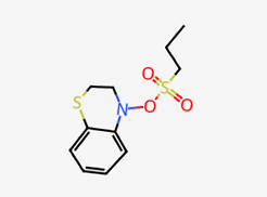 CCCS(=O)(=O)ON1CCSc2ccccc21